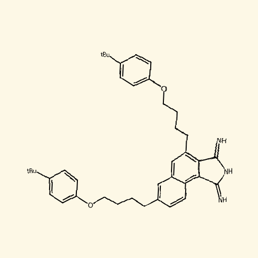 CC(C)(C)c1ccc(OCCCCc2ccc3c4c(c(CCCCOc5ccc(C(C)(C)C)cc5)cc3c2)C(=N)NC4=N)cc1